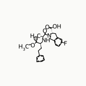 CCOC(=O)[C@H](CCc1ccccc1)N[C@@H](C)C(=O)N1Cc2ccc(F)cc2C[C@H]1C(=O)O